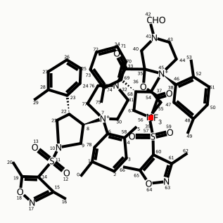 Cc1ccc(C)c([N+]2([C@H]3CN(S(=O)(=O)c4c(C)noc4C)C[C@@H]3c3ccccc3C)CCN(C(=O)C3(OC(=O)C(F)(F)F)CN(C=O)CC[N@+]3(c3cc(C)ccc3C)[C@H]3CN(S(=O)(=O)c4c(C)noc4C)C[C@@H]3c3ccccc3C)CC2)c1